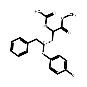 COC(=O)C(C[C@@H](Cc1ccccc1)Sc1ccc(Cl)cc1)NC(=O)O